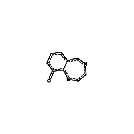 O=c1cccc2cnccnc1-2